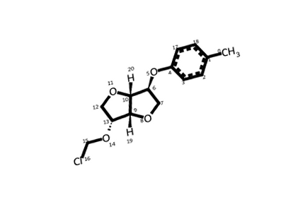 Cc1ccc(O[C@H]2CO[C@H]3[C@@H]2OC[C@H]3OCCl)cc1